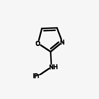 CC(C)Nc1ncco1